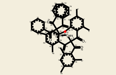 Cc1cc(C)c(C(=O)[C]([GeH2][GeH2][C](C(=O)c2ccccc2)(C(=O)c2ccccc2)C(=O)c2ccccc2)(C(=O)c2c(C)cc(C)cc2C)C(=O)c2c(C)cc(C)cc2C)c(C)c1